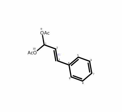 CC(=O)OC(/C=C/c1ccccc1)OC(C)=O